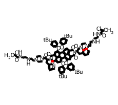 C=C(Cl)C(=O)NCCNCCN1CCN(C(=O)C(Cc2cccnc2)N2C(=O)c3cc(Oc4ccc(C(C)(C)C)cc4)c4c5c(Oc6ccc(C(C)(C)C)cc6)cc6c7c(cc(Oc8ccc(C(C)(C)C)cc8)c(c8c(Oc9ccc(C(C)(C)C)cc9)cc(c3c48)C2=O)c75)C(=O)N(C(Cc2cccnc2)C(=O)N2CCN(CCNCCNC(=O)C(=C)Cl)CC2)C6=O)CC1